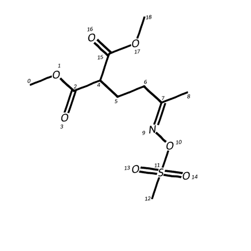 COC(=O)C(CCC(C)=NOS(C)(=O)=O)C(=O)OC